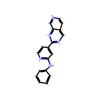 c1ccc(Nc2cc(-c3ncc4ccncc4n3)ccn2)cc1